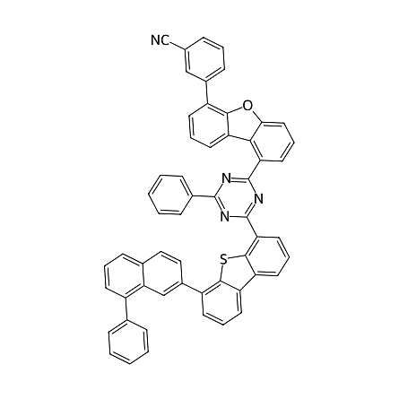 N#Cc1cccc(-c2cccc3c2oc2cccc(-c4nc(-c5ccccc5)nc(-c5cccc6c5sc5c(-c7ccc8cccc(-c9ccccc9)c8c7)cccc56)n4)c23)c1